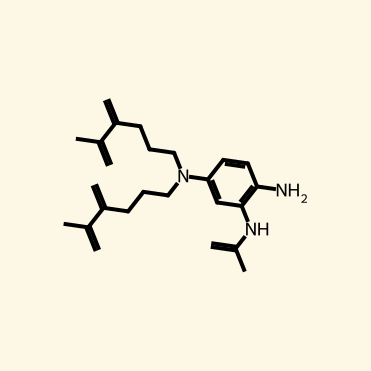 C=C(C)Nc1cc(N(CCCC(=C)C(=C)C)CCCC(=C)C(=C)C)ccc1N